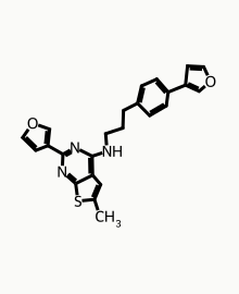 Cc1cc2c(NCCCc3ccc(-c4ccoc4)cc3)nc(-c3ccoc3)nc2s1